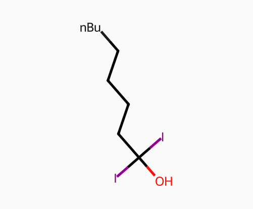 CCCCCCCCC(O)(I)I